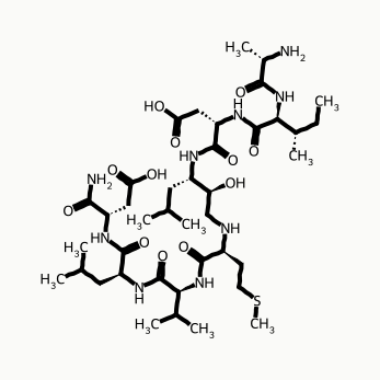 CC[C@H](C)[C@H](NC(=O)[C@H](C)N)C(=O)N[C@@H](CC(=O)O)C(=O)N[C@@H](CC(C)C)[C@@H](O)CN[C@@H](CCSC)C(=O)N[C@H](C(=O)N[C@@H](CC(C)C)C(=O)N[C@@H](CC(=O)O)C(N)=O)C(C)C